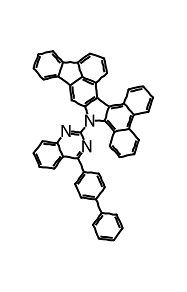 c1ccc(-c2ccc(-c3nc(-n4c5cc6c7c(cccc7c5c5c7ccccc7c7ccccc7c54)-c4ccccc4-6)nc4ccccc34)cc2)cc1